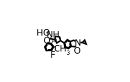 Cc1c(F)cccc1[C@]1(C(=O)NO)CCC(c2ccc3c(c2)CN(C2CC2)C3=O)C1